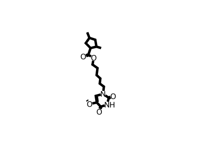 COc1cn(CCCCCCOC(=O)C2CC(C)CC2C)c(=O)[nH]c1=O